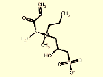 C=CC(=O)N(C)[N+](C)(CCC)CC(O)CS(=O)(=O)[O-]